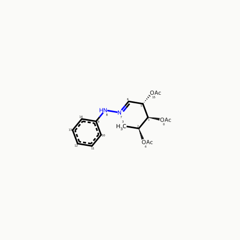 CC(=O)O[C@@H]([C@H](C)OC(C)=O)[C@H](/C=N/Nc1ccccc1)OC(C)=O